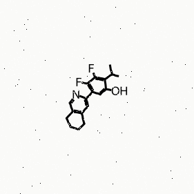 CC(C)c1c(O)cc(-c2cc3c(cn2)CCCC3)c(F)c1F